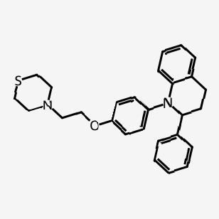 c1ccc(C2CCc3ccccc3N2c2ccc(OCCN3CCSCC3)cc2)cc1